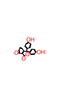 O=C1OC(c2ccc(O)cc2)(c2ccc(O)cc2)c2ccc3c(c21)O3